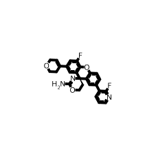 NC1=N[C@@]2(CCO1)c1cc(-c3cccnc3F)ccc1Oc1c(F)cc(C3=CCOCC3)cc12